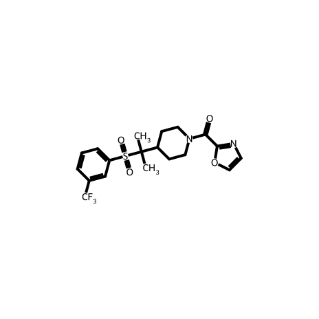 CC(C)(C1CCN(C(=O)c2ncco2)CC1)S(=O)(=O)c1cccc(C(F)(F)F)c1